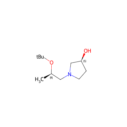 C[C@H](CN1CC[C@H](O)C1)OC(C)(C)C